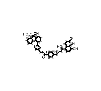 O=C(NCc1cnc(-c2cccc(C(O)(C(=O)O)c3ccccc3)c2)s1)c1ccc(CNCC(O)c2ccc(O)c3[nH]c(=O)ccc23)cc1